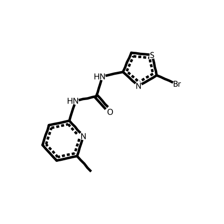 Cc1cccc(NC(=O)Nc2csc(Br)n2)n1